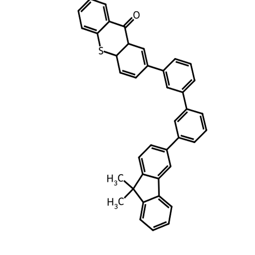 CC1(C)c2ccccc2-c2cc(-c3cccc(-c4cccc(C5=CC6C(=O)c7ccccc7SC6C=C5)c4)c3)ccc21